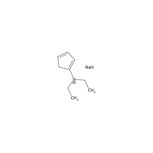 CC[SiH](CC)C1=CC=CC1.[NaH]